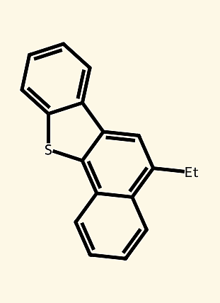 CCc1cc2c3ccccc3sc2c2ccccc12